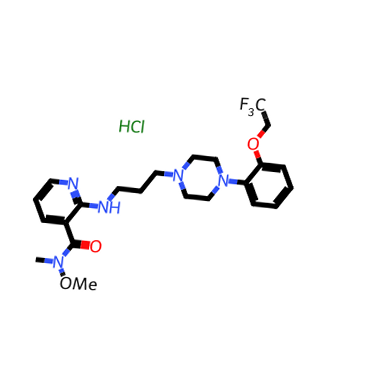 CON(C)C(=O)c1cccnc1NCCCN1CCN(c2ccccc2OCC(F)(F)F)CC1.Cl